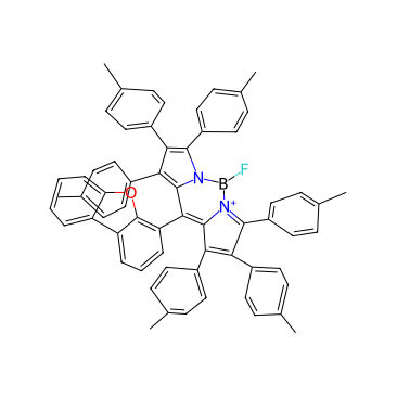 Cc1ccc(C2=C(c3ccc(C)cc3)C(c3ccc(C)cc3)=[N+]3B(F)n4c(c(-c5ccc(C)cc5)c(-c5ccc(C)cc5)c4-c4ccc(C)cc4)C(c4cccc5c4oc4ccccc45)=C23)cc1